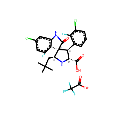 CC(C)(C)C[C@@H]1N[C@@H](C(=O)O)[C@H](c2cccc(Cl)c2F)[C@]12C(=O)Nc1cc(Cl)cc(F)c12.O=C(O)C(F)(F)F